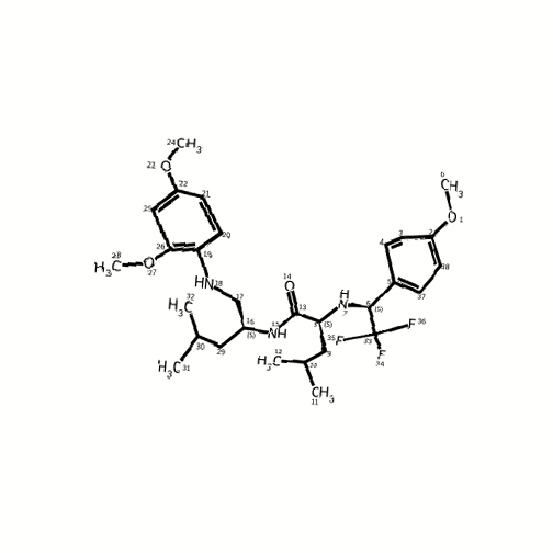 COc1ccc([C@H](N[C@@H](CC(C)C)C(=O)N[C@H](CNc2ccc(OC)cc2OC)CC(C)C)C(F)(F)F)cc1